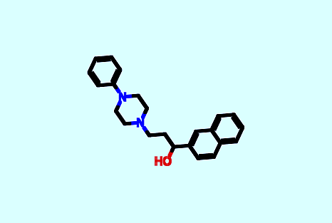 OC(CCN1CCN(c2ccccc2)CC1)c1ccc2ccccc2c1